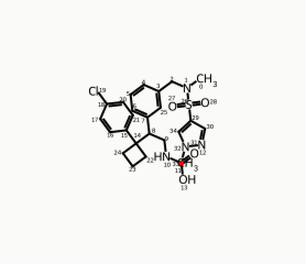 CN(Cc1cccc(C(CNC(=O)O)C2(c3ccc(Cl)cc3)CCC2)c1)S(=O)(=O)c1cnn(C)c1